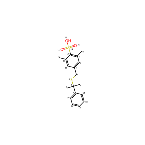 Cc1cc(CSC(C)(C)c2ccccc2)cc(C)c1S(=O)(=O)O